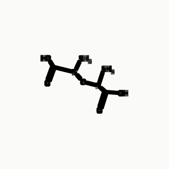 O=C(O)N([SiH3])ON([SiH3])C(=O)O